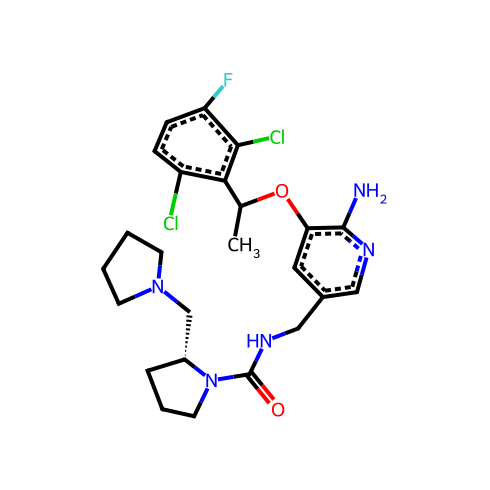 CC(Oc1cc(CNC(=O)N2CCC[C@@H]2CN2CCCC2)cnc1N)c1c(Cl)ccc(F)c1Cl